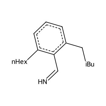 CCCCCCc1cccc(CC(C)CC)c1C=N